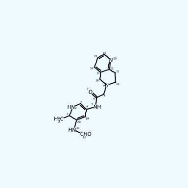 CC1NC=C(NC(=O)CN2CCc3ncccc3C2)C=C1NC=O